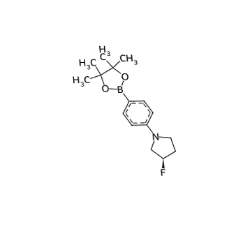 CC1(C)OB(c2ccc(N3CC[C@@H](F)C3)cc2)OC1(C)C